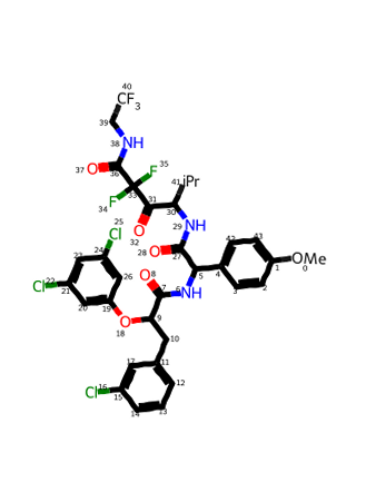 COc1ccc(C(NC(=O)C(Cc2cccc(Cl)c2)Oc2cc(Cl)cc(Cl)c2)C(=O)NC(C(=O)C(F)(F)C(=O)NCC(F)(F)F)C(C)C)cc1